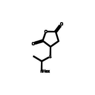 CCCCCCC(C)SC1CC(=O)OC1=O